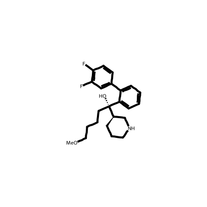 COCCCC[C@@](O)(c1ccccc1-c1ccc(F)c(F)c1)[C@@H]1CCCNC1